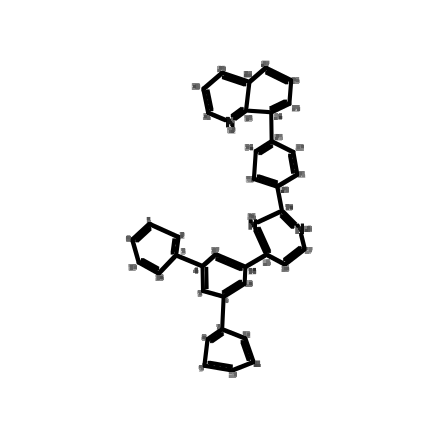 c1ccc(-c2cc(-c3ccccc3)cc(-c3ccnc(-c4ccc(-c5cccc6cccnc56)cc4)n3)c2)cc1